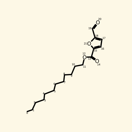 CCCCCCCCCCCCOC(=O)c1ccc(C=O)o1